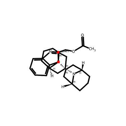 CC(=O)OCc1nc2ccccc2n1[C@H]1C[C@H]2CCC[C@@H](C1)N2[C@H]1C[C@@H]2CCC[C@@H](C2)C1